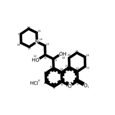 Cl.O=c1oc2cccc(C(O)C(O)CN3CCCCC3)c2c2c1CCCC2